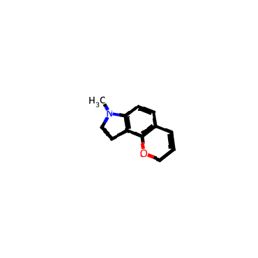 CN1CCc2c1ccc1c2OCC=C1